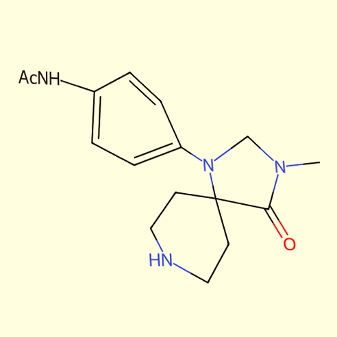 CC(=O)Nc1ccc(N2CN(C)C(=O)C23CCNCC3)cc1